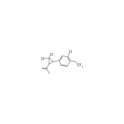 C=C(C)C1C(c2ccc(CC(F)(F)F)c(Cl)c2)C1(Cl)Cl